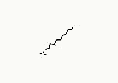 CCCCCCCCCCCCCC/C=C/[C@@H](O)[C@@H](N)COP(=O)(O)O